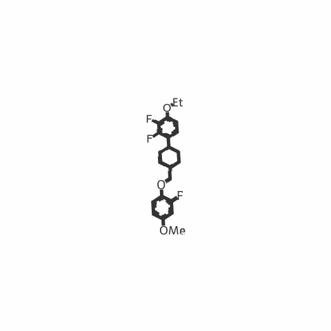 CCOc1ccc(C2CCC(COc3ccc(OC)cc3F)CC2)c(F)c1F